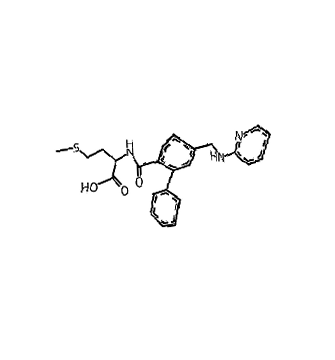 CSCCC(NC(=O)c1ccc(CNc2ccccn2)cc1-c1ccccc1)C(=O)O